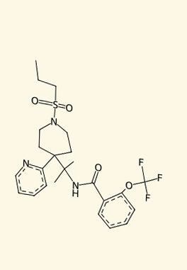 CCCS(=O)(=O)N1CCC(c2ccccn2)(C(C)(C)NC(=O)c2ccccc2OC(F)(F)F)CC1